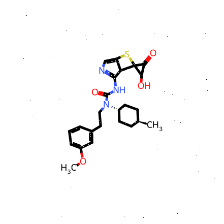 COc1cccc(CCN(C(=O)NC2=NC=C3SC4(C(=O)C4O)C32)[C@H]2CC[C@H](C)CC2)c1